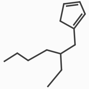 CCCCC(CC)CC1=CC=CC1